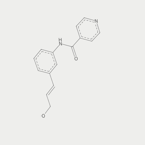 [O]C/C=C/c1cccc(NC(=O)c2ccncc2)c1